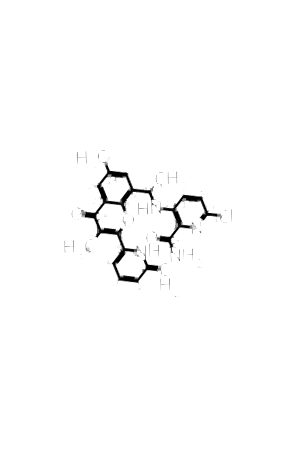 C=C1C=CC=C(c2oc3c([C@@H](C)Nc4ccc(Cl)nc4C(N)=O)cc(C)cc3c(=O)c2C)N1